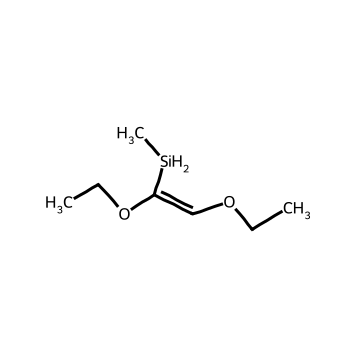 CCOC=C(OCC)[SiH2]C